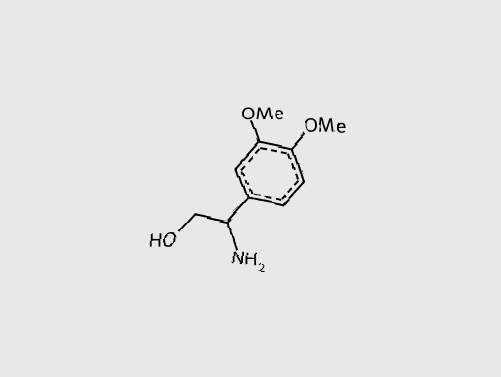 COc1ccc(C(N)CO)cc1OC